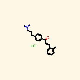 Cc1ccccc1C=CC(=O)c1ccc(CCCN(C)C)cc1.Cl